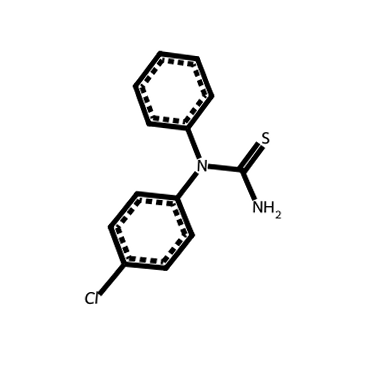 NC(=S)N(c1ccccc1)c1ccc(Cl)cc1